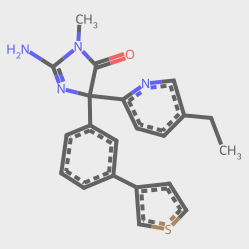 CCc1ccc(C2(c3cccc(-c4ccsc4)c3)N=C(N)N(C)C2=O)nc1